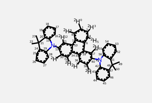 [2H]c1c([2H])c([2H])c2c(c1[2H])c1c([2H])c(N3c4ccccc4C(C)(C)c4ccccc43)c([2H])c([2H])c1c1c([2H])c([2H])c(N3c4ccccc4C(C)(C)c4ccccc43)c([2H])c21